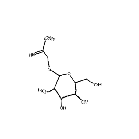 COC(=N)CSC1OC(CO)C(O)C(O)C1O